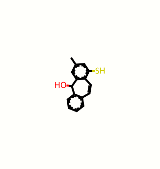 Cc1cc(S)c2c(c1)C(O)c1ccccc1C=C2